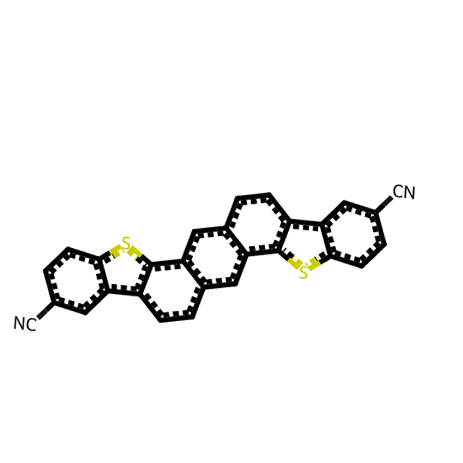 N#Cc1ccc2sc3c4cc5ccc6c7cc(C#N)ccc7sc6c5cc4ccc3c2c1